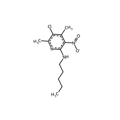 CCCCCNc1nc(C)c(Cl)c(C)c1[N+](=O)[O-]